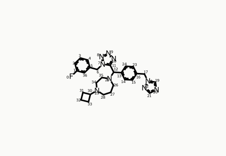 Fc1cccc(Cn2nnnc2C(c2ccc(Cn3cncn3)cc2)N2CCCN(C3CCC3)CC2)c1